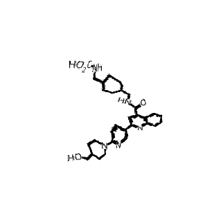 O=C(O)NCC1CCC(CNC(=O)c2cc(-c3ccc(N4CCC(CO)CC4)nc3)nc3ccccc23)CC1